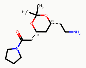 CC1(C)O[C@H](CCN)C[C@H](CC(=O)N2CCCC2)O1